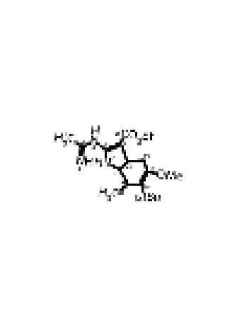 CCOC(=O)C1=C(NC(C)=N)NC2C(C)C(C(C)(C)C)=C(OC)CC12